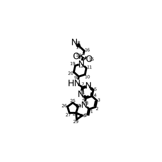 C=C1C=Cc2cnc(NC3CCN(S(=O)(=O)CC#N)CC3)nc2N1[C@H]1CCCC12CC2